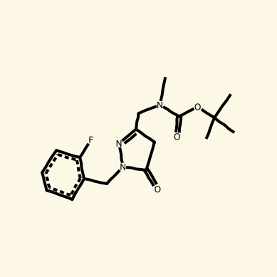 CN(CC1=NN(Cc2ccccc2F)C(=O)C1)C(=O)OC(C)(C)C